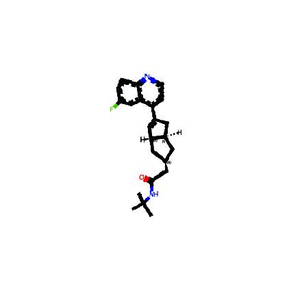 CC(C)(C)NC(=O)C[C@@H]1C[C@@H]2CC(c3ccnc4ccc(F)cc34)=C[C@@H]2C1